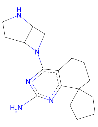 Nc1nc(N2CC3NCCC32)c2c(n1)C1(CCCC1)CCC2